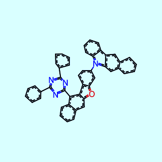 c1ccc(-c2nc(-c3ccccc3)nc(-c3c4ccccc4cc4oc5cc(-n6c7ccccc7c7cc8ccccc8cc76)ccc5c34)n2)cc1